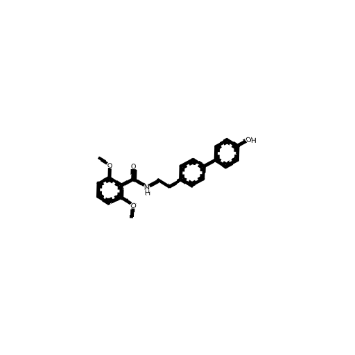 COc1cccc(OC)c1C(=O)NCCc1ccc(-c2ccc(O)cc2)cc1